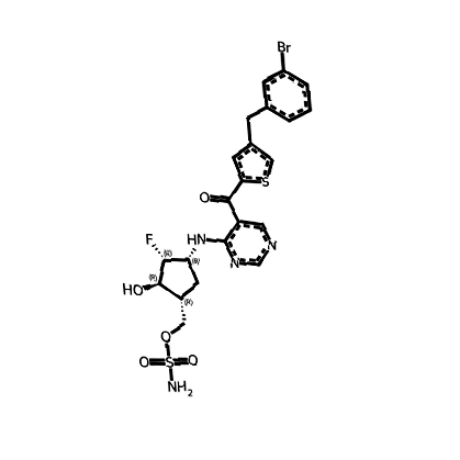 NS(=O)(=O)OC[C@H]1C[C@@H](Nc2ncncc2C(=O)c2cc(Cc3cccc(Br)c3)cs2)[C@@H](F)[C@@H]1O